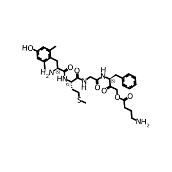 CSCC[C@H](NC(=O)[C@@H](N)Cc1c(C)cc(O)cc1C)C(=O)NCC(=O)N[C@@H](Cc1ccccc1)C(=O)COC(=O)CCCN